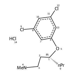 CCC[C@H](CCNC)Oc1cc(Cl)cc(Cl)c1.Cl